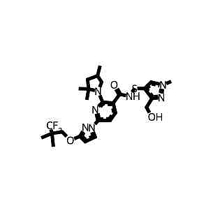 CC1CN(c2nc(-n3ccc(OCC(C)(C)C(F)(F)F)n3)ccc2C(=O)NSc2cn(C)nc2CO)C(C)(C)C1